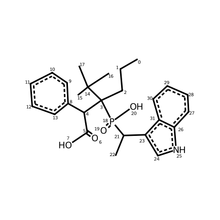 CCCC(C(C(=O)O)c1ccccc1)(C(C)(C)C)P(=O)(O)C(C)c1c[nH]c2ccccc12